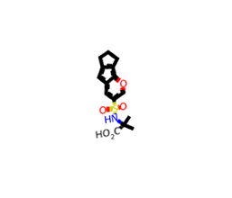 CC(C)(NS(=O)(=O)c1coc2c3c(cc-2c1)CCC3)C(=O)O